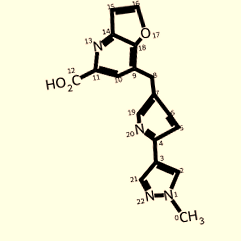 Cn1cc(-c2ccc(Cc3cc(C(=O)O)nc4ccoc34)cn2)cn1